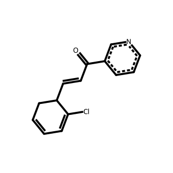 O=C(/C=C/C1CC=CC=C1Cl)c1cccnc1